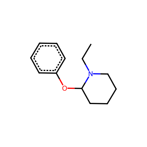 CCN1CCCCC1Oc1ccccc1